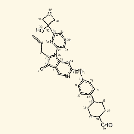 C=CCn1c(=O)c2cnc(Nc3ccc(C4CCC(C=O)CC4)cc3)nc2n1-c1cccc(C2(O)COC2)n1